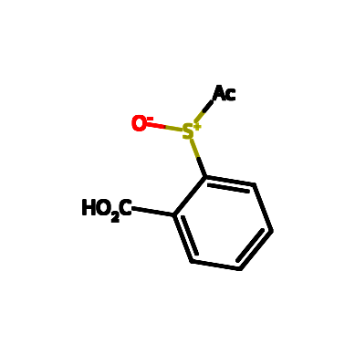 CC(=O)[S+]([O-])c1ccccc1C(=O)O